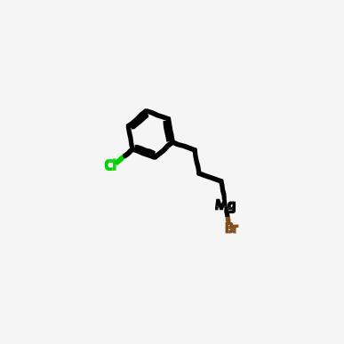 Clc1cccc(CC[CH2][Mg][Br])c1